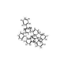 c1ccc(-c2cc(-c3ccc4c(c3)C3(c5ccccc5-4)c4ccccc4-n4c3nc3ccccc34)nc(-c3ccccc3)n2)cc1